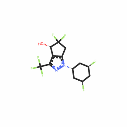 O[C@H]1c2c(C(F)(F)F)nn([C@H]3C[C@H](F)C[C@H](F)C3)c2CC1(F)F